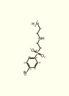 NCCNCCS(=O)(=O)c1ccc(Br)cc1